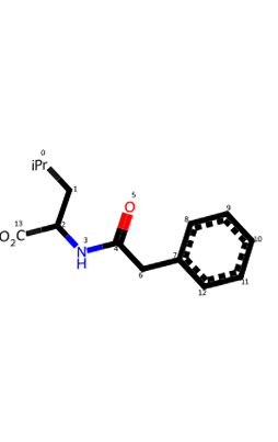 CC(C)CC(NC(=O)Cc1ccccc1)C(=O)O